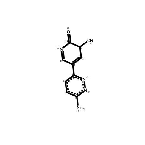 N#CC1C=C(c2ccc(N)nn2)C=NC1=O